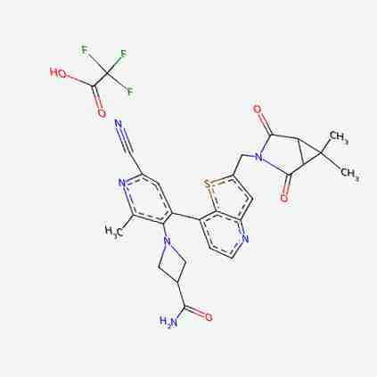 Cc1nc(C#N)cc(-c2ccnc3cc(CN4C(=O)C5C(C4=O)C5(C)C)sc23)c1N1CC(C(N)=O)C1.O=C(O)C(F)(F)F